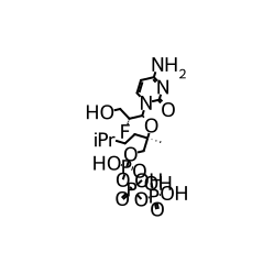 CC(C)CC[C@](C)(COP(=O)(O)OP(=O)(O)OP(=O)(O)O)O[C@H]([C@H](F)CO)n1ccc(N)nc1=O